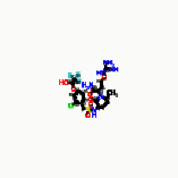 Cc1ccc(NS(=O)(=O)Cc2ccccc2Cl)c(=O)n1C(CCONC(=N)N)C(N)=O.O=C(O)C(F)(F)F